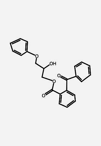 O=C(OCC(O)COc1ccccc1)c1ccccc1C(=O)c1ccccc1